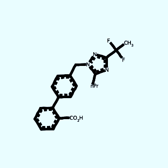 CCCc1nc(C(C)(F)F)nn1Cc1ccc(-c2ccccc2C(=O)O)cc1